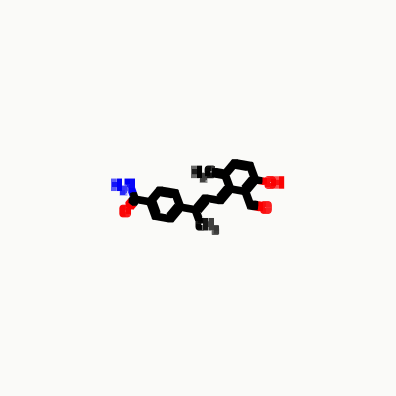 C=c1ccc(O)c(C=O)/c1=C/C=C(\C)c1ccc(C(N)=O)cc1